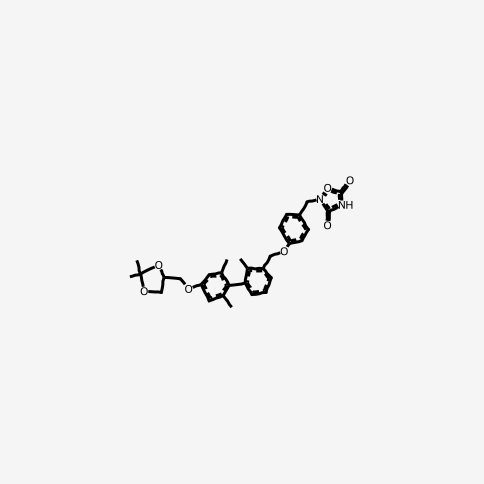 Cc1cc(OCC2COC(C)(C)O2)cc(C)c1-c1cccc(COc2ccc(Cn3oc(=O)[nH]c3=O)cc2)c1C